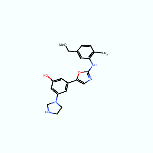 COCc1ccc(C)c(Nc2ncc(-c3cc(O)cc(N4CCNC4)c3)o2)c1